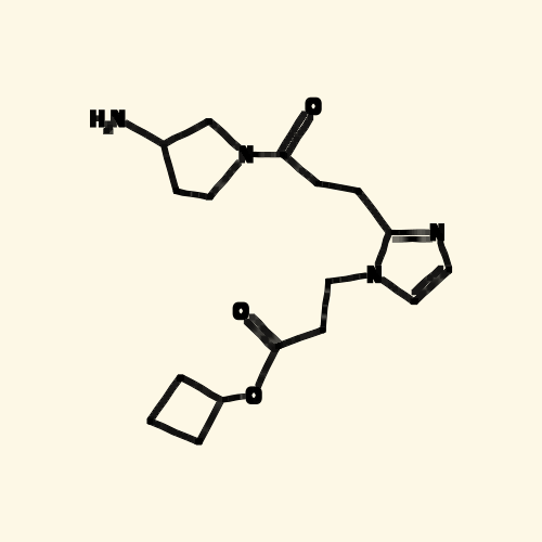 NC1CCN(C(=O)CCc2nccn2CCC(=O)OC2CCC2)C1